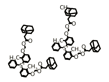 C.Cc1c(OCOC(=O)CC23CC4CC(CC(C4)C2)C3)cccc1[S+](c1ccccc1)c1cccc(OCOC(=O)CC23CC4CC(CC(C4)C2)C3)c1C.Cc1c(OCOC(=O)CC23CC4CC(CC(C4)C2)C3)cccc1[S+](c1ccccc1)c1cccc(OCOC(=O)CC23CC4CC(CC(C4)C2)C3)c1C